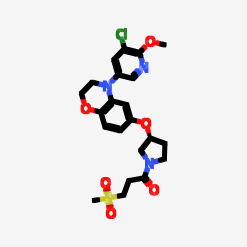 COc1ncc(N2CCOc3ccc(O[C@H]4CCN(C(=O)CCS(C)(=O)=O)C4)cc32)cc1Cl